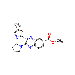 COC(=O)c1ccc2nc(N3CCCC3)c(-c3ncc(C)s3)nc2c1